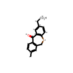 Cc1ccc2c(c1)CSc1ccc(CC(=O)O)cc1C2=O